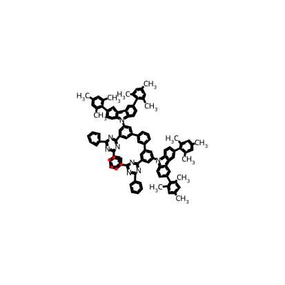 Cc1cc(C)c(-c2ccc3c(c2)c2cc(-c4c(C)cc(C)cc4C)ccc2n3-c2cc(-c3cccc(-c4cc(-c5nc(-c6ccccc6)nc(-c6ccccc6)n5)cc(-n5c6ccc(-c7c(C)cc(C)cc7C)cc6c6cc(-c7c(C)cc(C)cc7C)ccc65)c4)c3)cc(-c3nc(-c4ccccc4)nc(-c4ccccc4)n3)c2)c(C)c1